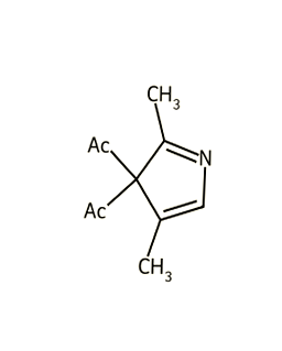 CC(=O)C1(C(C)=O)C(C)=CN=C1C